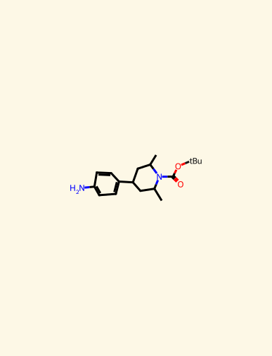 CC1CC(c2ccc(N)cc2)CC(C)N1C(=O)OC(C)(C)C